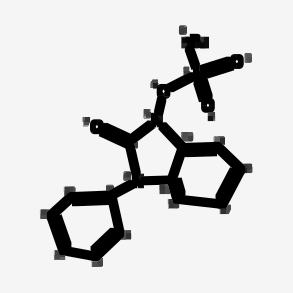 CCCCS(=O)(=O)On1c(=O)n(-c2ccccc2)c2ccccc21